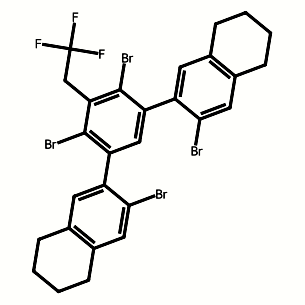 FC(F)(F)Cc1c(Br)c(-c2cc3c(cc2Br)CCCC3)cc(-c2cc3c(cc2Br)CCCC3)c1Br